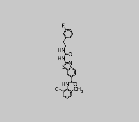 Cc1cccc(Cl)c1NC(=O)c1ccc2nc(NC(=O)NCCc3cccc(F)c3)sc2c1